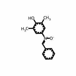 Cc1cc([N+]([O-])=Cc2ccccc2)cc(C)c1O